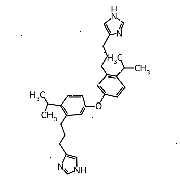 CC(C)c1ccc(Oc2ccc(C(C)C)c(CCCc3c[nH]cn3)c2)cc1CCCc1c[nH]cn1